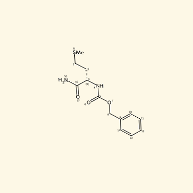 CSCC[C@H](NC(=O)OCc1ccccc1)C(N)=O